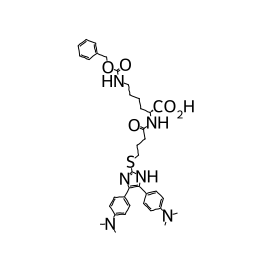 CN(C)c1ccc(-c2nc(SCCCC(=O)N[C@@H](CCCCNC(=O)OCc3ccccc3)C(=O)O)[nH]c2-c2ccc(N(C)C)cc2)cc1